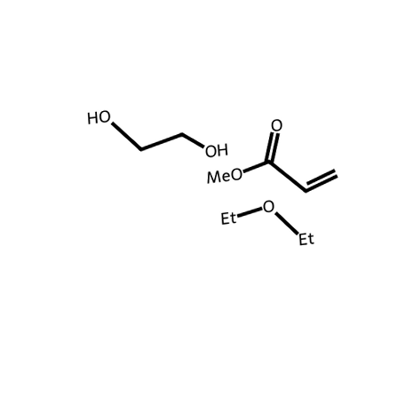 C=CC(=O)OC.CCOCC.OCCO